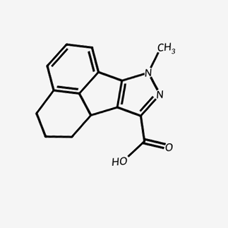 Cn1nc(C(=O)O)c2c1-c1cccc3c1C2CCC3